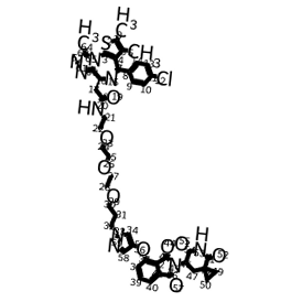 Cc1sc2c(c1C)C(c1ccc(Cl)cc1)=N[C@@H](CC(=O)NCCOCCOCCOCCCn1cc(Oc3cccc4c3C(=O)N(C3CC5(CC5)C(=O)NC3=O)C4=O)cn1)c1nnc(C)n1-2